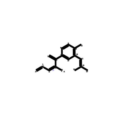 C=N/C=C(/F)C(=C)c1ccc(C)c(C=C(C)C)c1